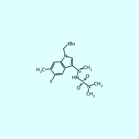 Cc1cc2c(cc1F)c([C@@H](C)NS(=O)(=O)N(C)C)cn2CC(C)(C)C